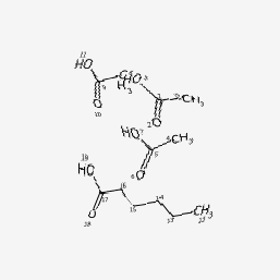 CC(=O)O.CC(=O)O.CC(=O)O.CCCCCC(=O)O